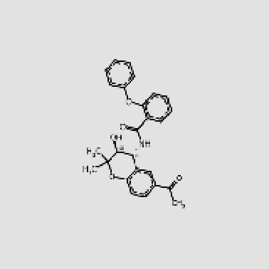 CC(=O)c1ccc2c(c1)[C@@H](NC(=O)c1ccccc1Oc1ccccc1)[C@H](O)C(C)(C)O2